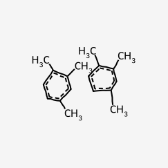 Cc1ccc(C)c(C)c1.Cc1ccc(C)c(C)c1